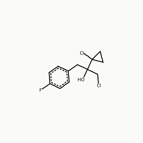 OC(CCl)(Cc1ccc(F)cc1)C1(Cl)CC1